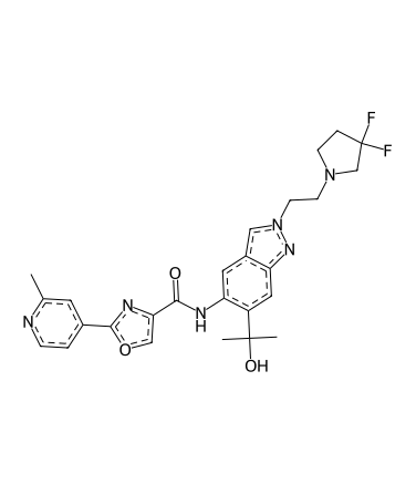 Cc1cc(-c2nc(C(=O)Nc3cc4cn(CCN5CCC(F)(F)C5)nc4cc3C(C)(C)O)co2)ccn1